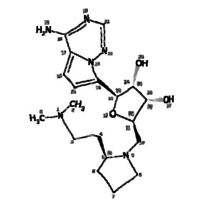 CN(C)CC[C@@H]1CCCN1C[C@H]1O[C@@H](c2ccc3c(N)ncnn23)[C@H](O)[C@@H]1O